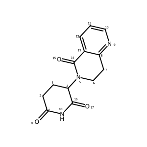 O=C1CCC(N2CCc3ncccc3C2=O)C(=O)N1